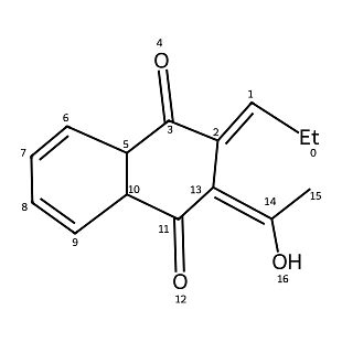 CC/C=C1/C(=O)C2C=CC=CC2C(=O)/C1=C(/C)O